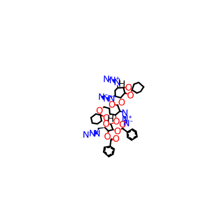 [N-]=[N+]=NC[C@H]1O[C@@H](O[C@@H]2C(N=[N+]=[N-])[C@@H](O[C@@H]3C(N=[N+]=[N-])C[C@@H](N=[N+]=[N-])[C@H]4OC5(CCCCC5)OC34)OC3COC4(CCCCC4)O[C@H]32)[C@@H](OC(=O)c2ccccc2)C1OC(=O)c1ccccc1